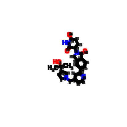 CC(C)(O)[C@H]1CCN(Cc2ccnc(-c3ccc4c(c3)CN(C3CCC(=O)NC3=O)C4=O)c2)C1